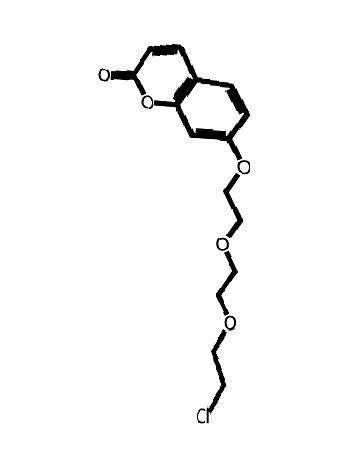 O=c1ccc2ccc(OCCOCCOCCCl)cc2o1